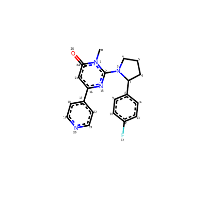 Cn1c(N2CCCC2c2ccc(F)cc2)nc(-c2ccncc2)cc1=O